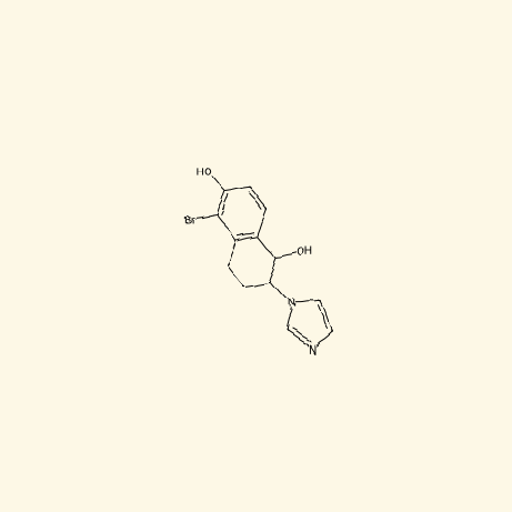 Oc1ccc2c(c1Br)CCC(n1ccnc1)C2O